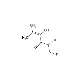 CC(C)=C(O)C(=O)C(O)CF